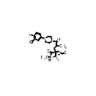 CCC(CC(C)C(=O)N1CCN(c2ccc(F)c(Cl)c2)CC1)(NC=O)C(=O)NC